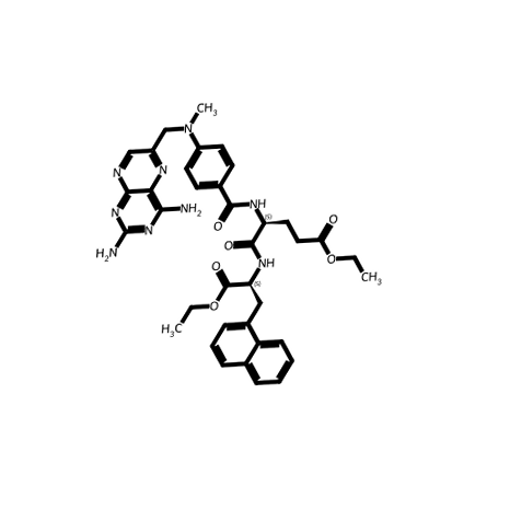 CCOC(=O)CC[C@H](NC(=O)c1ccc(N(C)Cc2cnc3nc(N)nc(N)c3n2)cc1)C(=O)N[C@@H](Cc1cccc2ccccc12)C(=O)OCC